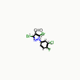 O=Cc1c(Br)nn(-c2ccc(F)c(Cl)c2)c1Br